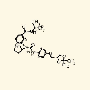 C[C@@H](NC(=O)c1ccc2c(n1)N(C(=O)Nc1ncc(OC[C@H]3COC(C)(C)O3)cn1)[C@H]1CCN2C1)C(F)(F)F